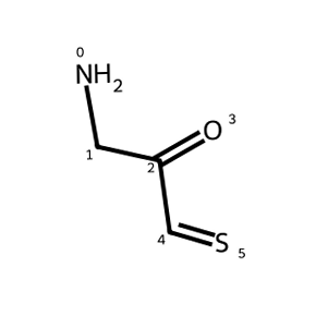 NCC(=O)C=S